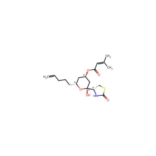 C=CCCC[C@@H]1C[C@@H](OC(=O)C=C(C)C)C[C@](O)([C@@H]2CSC(=O)N2)O1